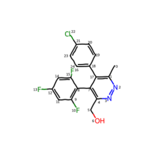 Cc1nnc(CO)c(-c2c(F)cc(F)cc2F)c1-c1ccc(Cl)cc1